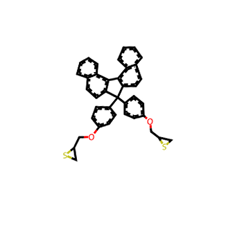 c1ccc2c3c(ccc2c1)C(c1ccc(OCC2CS2)cc1)(c1ccc(OCC2CS2)cc1)c1ccc2ccccc2c1-3